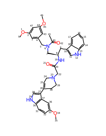 COc1cc(CN(C[C@@H](Cc2c[nH]c3ccccc23)NC(=O)CN2CC=C(c3c[nH]c4ccc(OC)cc34)CC2)C(C)=O)cc(OC)c1